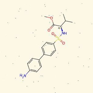 COC(=O)[C@H](NS(=O)(=O)c1ccc(-c2ccc(N)cc2)cc1)C(C)C